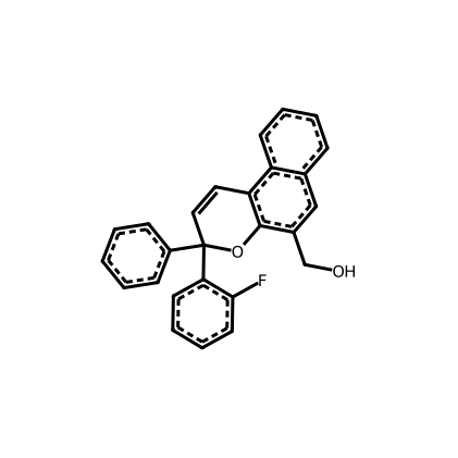 OCc1cc2ccccc2c2c1OC(c1ccccc1)(c1ccccc1F)C=C2